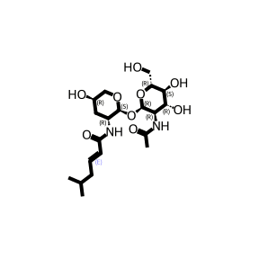 CC(=O)N[C@H]1[C@@H](O[C@@H]2OC[C@H](O)C[C@H]2NC(=O)/C=C/CC(C)C)O[C@H](CO)[C@@H](O)[C@@H]1O